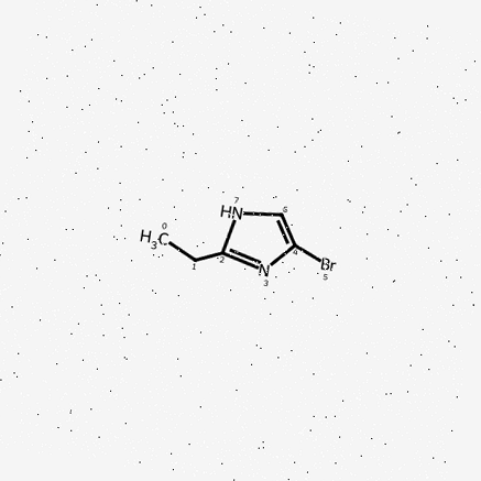 CCc1nc(Br)c[nH]1